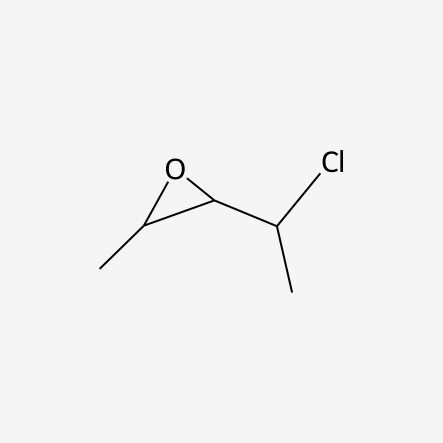 CC(Cl)C1OC1C